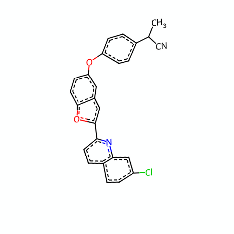 CC(C#N)c1ccc(Oc2ccc3oc(-c4ccc5ccc(Cl)cc5n4)cc3c2)cc1